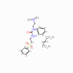 CCN(CC)CCN(C(=O)NCCS(=O)(=O)c1ccccc1)c1ccccc1.O=C(O)C=CC(=O)O